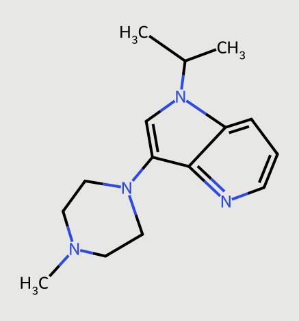 CC(C)n1cc(N2CCN(C)CC2)c2ncccc21